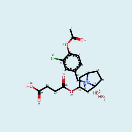 Br.Br.CC(=O)Oc1ccc(C[N+]2(C)C3CCC2CC(OC(=O)CCC(=O)O)C3)cc1Cl